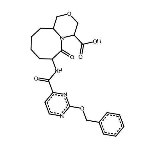 O=C(NC1CCCCC2COCC(C(=O)O)N2C1=O)c1ccnc(OCc2ccccc2)n1